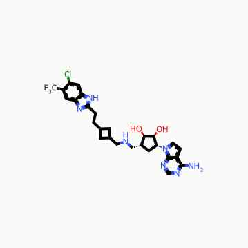 Nc1ncnc2c1ccn2[C@@H]1C[C@H](CNCC2CC(CCc3nc4cc(C(F)(F)F)c(Cl)cc4[nH]3)C2)[C@@H](O)[C@H]1O